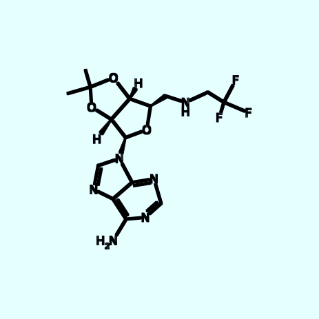 CC1(C)O[C@@H]2[C@H](O1)[C@@H](CNCC(F)(F)F)O[C@H]2n1cnc2c(N)ncnc21